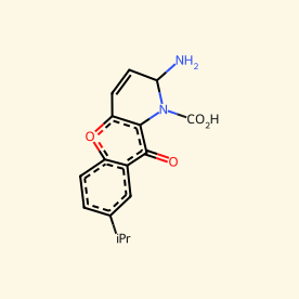 CC(C)c1ccc2oc3c(c(=O)c2c1)N(C(=O)O)C(N)C=C3